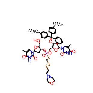 COc1ccc(C(O[C@@H]2C[C@H](n3cc(C)c(=O)[nH]c3=O)O[C@@H]2COP(=O)(O[C@@H]2C[C@H](n3cc(C)c(=O)[nH]c3=O)O[C@@H]2CO)SCSSCCN2CCOCC2)(c2ccccc2)c2ccc(OC)cc2)cc1